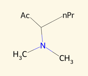 CCCC(C(C)=O)N(C)C